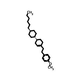 CCCCCC[C@H]1CC[C@H](C2CC=C(CCc3ccc(OC)cc3)CC2)CC1